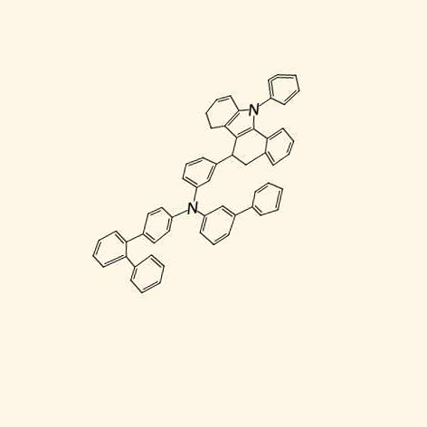 C1=C=C(n2c3c(c4c2-c2ccccc2CC4c2cccc(N(c4ccc(-c5ccccc5-c5ccccc5)cc4)c4cccc(-c5ccccc5)c4)c2)CCC=C3)C=CC=1